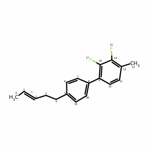 C/C=C/CCc1ccc(-c2ccc(C)c(F)c2F)cc1